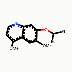 CCC(CC)Oc1cc2nccc(OC)c2cc1OC